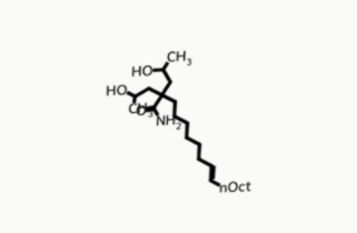 CCCCCCCCC=CCCCCCCC(CC(C)O)(CC(C)O)C(N)=O